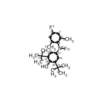 Cc1cc(F)cc(C)c1N(F)c1cc(C(C)(C)C)c(O)c(C(C)(C)C)c1